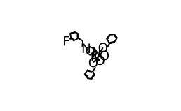 O=C(OCc1ccccc1)N1C2CC(CN(CCc3cccc(F)c3)C2)N1C(=O)OCc1ccccc1